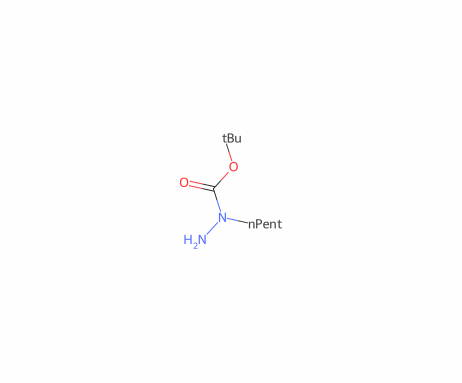 CCCCCN(N)C(=O)OC(C)(C)C